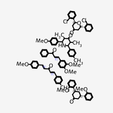 COc1ccc(/C=C/C(=O)/C=C/c2ccc(C)cc2)cc1.COc1ccc(/C=C/C(=O)c2ccccc2)cc1OC.COc1ccc(C2NC(c3ccc(C)cc3)C(C)C(=O)C2C)cc1.COc1ccccc1[C@@H]1CC(=O)C[C@@H](c2ccccc2OC)C1.O=C1C[C@@H](c2ccccc2Cl)O[C@H](c2ccccc2Cl)C1